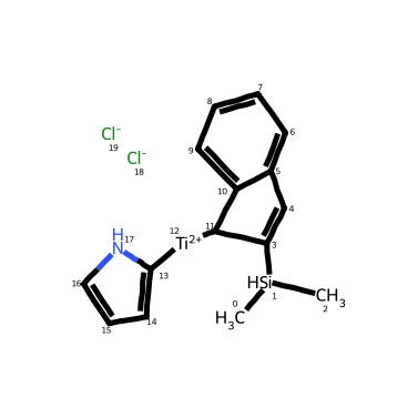 C[SiH](C)C1=Cc2ccccc2[CH]1[Ti+2][c]1ccc[nH]1.[Cl-].[Cl-]